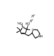 CC1(C)C=C(CC2CNCCO2)C(C)(C)N1O.Cl.[H+].[H+]